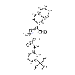 CCC(F)(F)c1cccc(NC(=O)C(C)/C(C)=N\N(C=O)c2ccc3cccnc3c2)c1